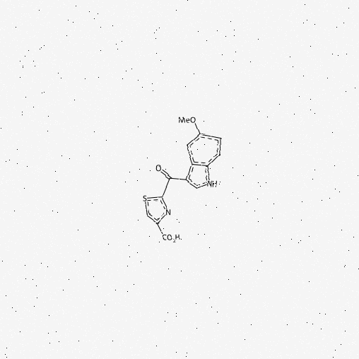 COc1ccc2[nH]cc(C(=O)c3nc(C(=O)O)cs3)c2c1